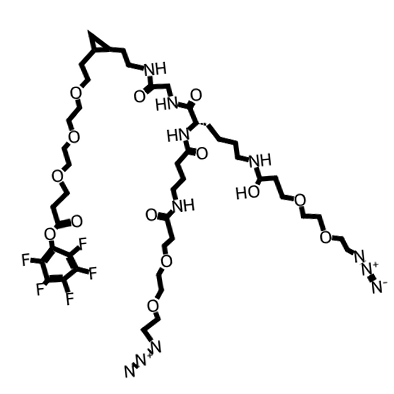 [N-]=[N+]=NCCOCCOCCC(=O)NCCCC(=O)N[C@@H](CCCCNC(O)CCOCCOCCN=[N+]=[N-])C(=O)NCC(=O)NCCC1CC1CCOCCOCCOCCC(=O)Oc1c(F)c(F)c(F)c(F)c1F